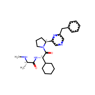 CN[C@@H](C)C(=O)N[C@H](C(=O)N1CCC[C@H]1c1cncc(Cc2ccccc2)n1)C1CCCCC1